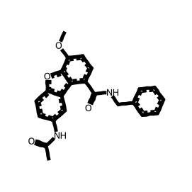 COc1ccc(C(=O)NCc2ccccc2)c2c1oc1ccc(NC(C)=O)cc12